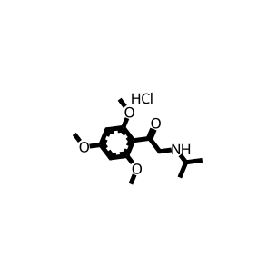 COc1cc(OC)c(C(=O)CNC(C)C)c(OC)c1.Cl